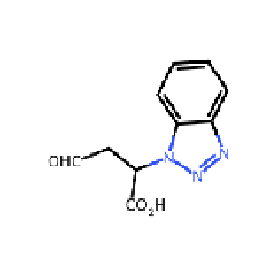 O=CCC(C(=O)O)n1nnc2ccccc21